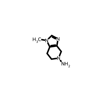 Cn1cnc2c1CCN(N)C2